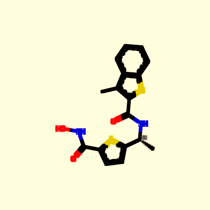 Cc1c(C(=O)N[C@H](C)c2ccc(C(=O)NO)s2)sc2ccccc12